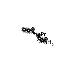 CCCN(CCCCNC(=O)c1ccc(-c2ccccc2)cc1)[C@@H]1CCc2ccc(C(N)=O)cc2C1